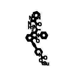 C[C@H](NC(=O)c1c(N)nn2cccnc12)c1cc2cccc(C#CC3CCN(C(=O)OC(C)(C)C)CC3)c2c(=O)n1-c1ccccc1